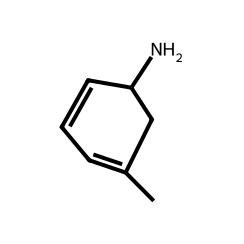 CC1=CC=CC(N)C1